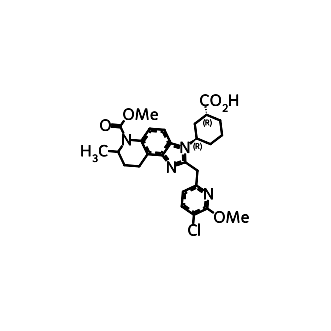 COC(=O)N1c2ccc3c(nc(Cc4ccc(Cl)c(OC)n4)n3[C@@H]3CCC[C@@H](C(=O)O)C3)c2CCC1C